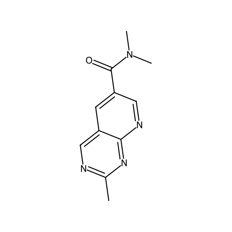 Cc1ncc2cc(C(=O)N(C)C)cnc2n1